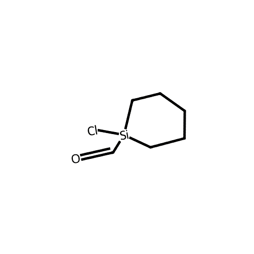 O=C[Si]1(Cl)CCCCC1